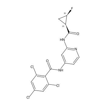 O=C(Nc1ccnc(NC(=O)[C@H]2C[C@H]2F)c1)c1c(Cl)cc(Cl)cc1Cl